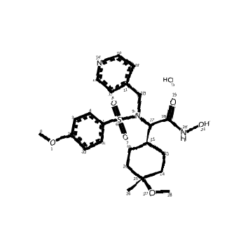 COc1ccc(S(=O)(=O)N(Cc2ccncc2)C(C(=O)NO)[C@H]2CC[C@](C)(OC)CC2)cc1.Cl